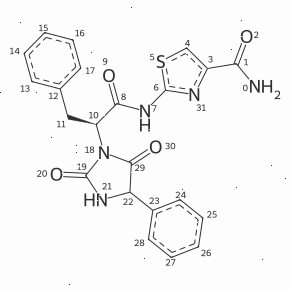 NC(=O)c1csc(NC(=O)[C@H](Cc2ccccc2)N2C(=O)NC(c3ccccc3)C2=O)n1